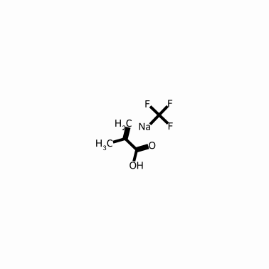 C=C(C)C(=O)O.F[C](F)(F)[Na]